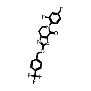 O=C1c2sc(OCc3ccc(C(F)(F)F)cc3)nc2CCN1c1ccc(F)cc1F